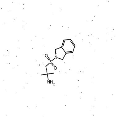 CC(C)(N)CS(=O)(=O)N1Cc2ccccc2C1